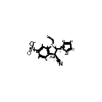 CCN1c2cc([N+](=O)[O-])ccc2C(C#N)C1n1cccc1